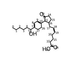 CCCCCC(O)C1=CC=C(C2C(=O)CCC2C/C=C\CCCC(=O)O)CC1